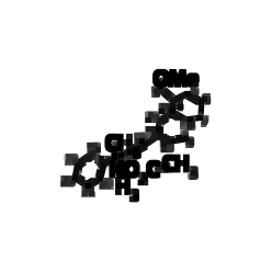 CC(=O)O.COC=C1C=CCc2ccc(C#CC(C)(C)c3ccccc3)cc21